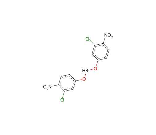 O=[N+]([O-])c1ccc(OBOc2ccc([N+](=O)[O-])c(Cl)c2)cc1Cl